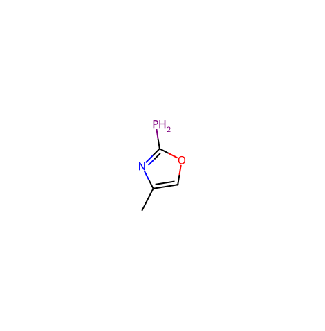 Cc1coc(P)n1